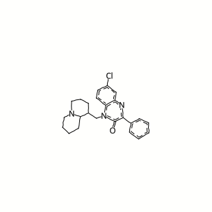 O=c1c(-c2ccccc2)nc2cc(Cl)ccc2n1CC1CCCN2CCCCC12